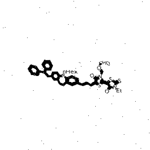 CCCCCCN1c2ccc(C=C(c3ccccc3)c3ccccc3)cc2CCc2cc(/C=C/C=c3/s/c(=C4/SC(=S)N(CC)C4=O)n(COC=O)c3=O)ccc21